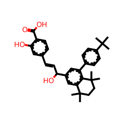 CC(C)(C)c1ccc(-c2cc(C(O)/C=C/c3ccc(C(=O)O)c(O)c3)cc3c2C(C)(C)CCC3(C)C)cc1